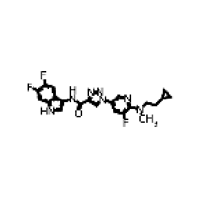 CN(CCC1CC1)c1ncc(-n2cc(C(=O)Nc3c[nH]c4cc(F)c(F)cc34)nn2)cc1F